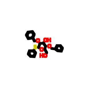 OCC1O[C@@H](Sc2ccccc2)C(OCc2ccccc2)C(O)[C@@H]1OCc1ccccc1